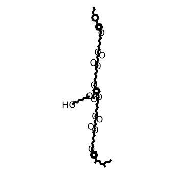 CCCC(C)CCC(C)c1ccc(OCCCCCCOC(=O)CCC(=O)OCCCCCCOc2ccc(OCCCCCCOC(=O)CCC(=O)OCCCCCCOc3ccc(C4CCC(CCC)CC4)cc3)cc2C(=O)OCCCCCCO)cc1